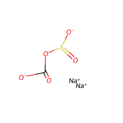 O=C([O-])OS(=O)[O-].[Na+].[Na+]